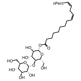 CCCCC/C=C\C/C=C\CCCCCCCC(=O)O[C@@H]1O[C@H](CO)[C@@H](O[C@H]2O[C@H](CO)[C@@H](O)[C@H](O)[C@H]2O)[C@H](O)[C@H]1O